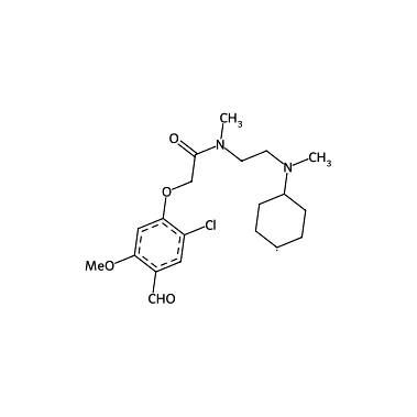 COc1cc(OCC(=O)N(C)CCN(C)C2CC[CH]CC2)c(Cl)cc1C=O